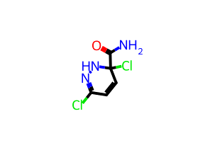 NC(=O)C1(Cl)C=CC(Cl)=NN1